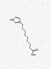 O=C(O)CCCCCCCC[n+]1cc[nH]c1